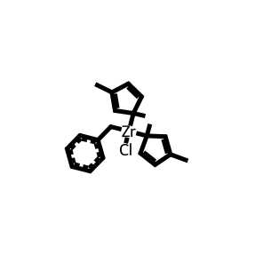 CC1=C[C](C)([Zr]([Cl])([CH2]c2ccccc2)[C]2(C)C=CC(C)=C2)C=C1